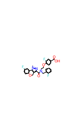 Cn1nc(C(=O)N(CCOc2ccc(C(=O)O)cc2F)Cc2ccccc2F)c2c1-c1cc(F)ccc1OC2